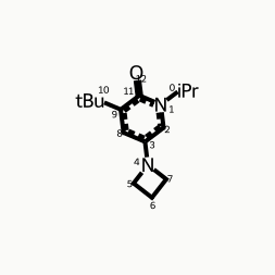 CC(C)n1cc(N2CCC2)cc(C(C)(C)C)c1=O